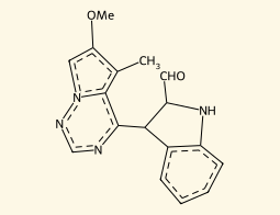 COc1cn2ncnc(C3c4ccccc4NC3C=O)c2c1C